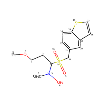 CC(C)OCCC(N(O)C=O)S(=O)(=O)Cc1ccc2sccc2c1